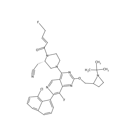 CC(C)(C)N1CCC1COc1nc(N2CCN(C(=O)/C=C/CF)[C@@H](CC#N)C2)c2cnc(-c3cccc4cccc(Cl)c34)c(F)c2n1